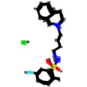 Cc1ccc(F)cc1S(=O)(=O)NCCCCN1CCc2ccccc2C1.Cl